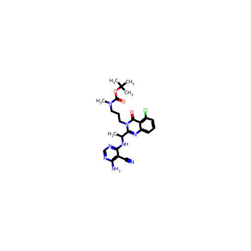 CC(Nc1ncnc(N)c1C#N)c1nc2cccc(Cl)c2c(=O)n1CCCN(C)C(=O)OC(C)(C)C